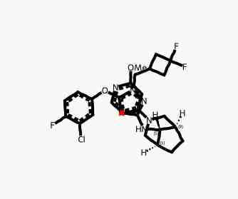 COc1cc(N2C[C@H]3CC[C@@H](C2)[C@@H]3Nc2nc(Oc3ccc(F)c(Cl)c3)n(CC3CC(F)(F)C3)n2)ccn1